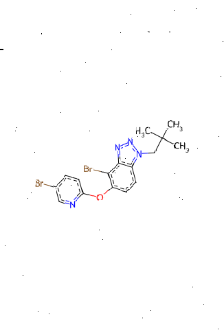 CC(C)(C)Cn1nnc2c(Br)c(Oc3ccc(Br)cn3)ccc21